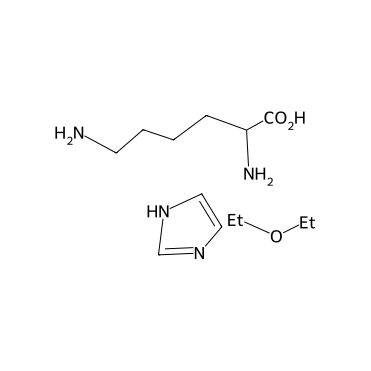 CCOCC.NCCCCC(N)C(=O)O.c1c[nH]cn1